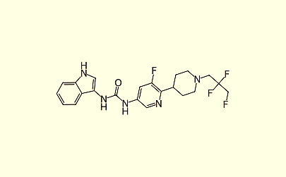 O=C(Nc1cnc(C2CCN(CC(F)(F)CF)CC2)c(F)c1)Nc1c[nH]c2ccccc12